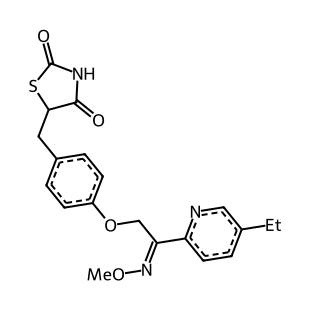 CCc1ccc(C(COc2ccc(CC3SC(=O)NC3=O)cc2)=NOC)nc1